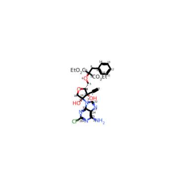 C#C[C@@]1(O)[C@@H](COC(Cc2ccccc2)(C(=O)OCC)C(=O)OCC)OC[C@@]1(O)n1cnc2c(N)nc(Cl)nc21